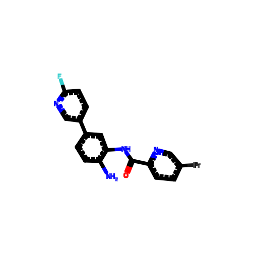 CC(C)c1ccc(C(=O)Nc2cc(-c3ccc(F)nc3)ccc2N)nc1